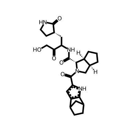 O=C(CO)C(C[C@@H]1CCNC1=O)NC(=O)[C@@H]1[C@H]2CCC[C@H]2CN1C(=O)c1cc2c([nH]1)C1CCC2C1